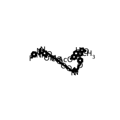 COc1cc2c(Nc3cccc(F)c3)ncnc2cc1OCCOCCOCCOCCOCc1cn(CCOc2ccc([C@H]3C[C@]4(C)C(=O)CC[C@H]4[C@@H]4CCc5cc(OC(C)=O)ccc5[C@H]43)cc2)nn1